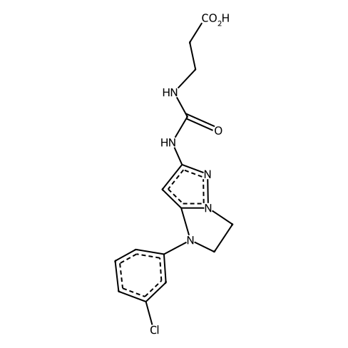 O=C(O)CCNC(=O)Nc1cc2n(n1)CCN2c1cccc(Cl)c1